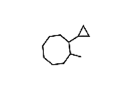 CC1CCCCCC[C]1C1CC1